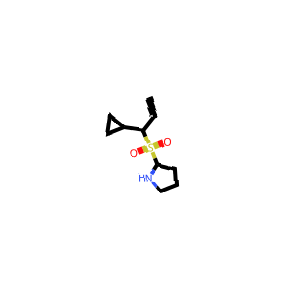 C=CC(C1CC1)S(=O)(=O)C1CCCN1